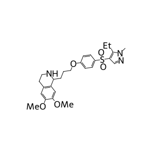 CCc1c(S(=O)(=O)c2ccc(OCCCC3NCCc4cc(OC)c(OC)cc43)cc2)cnn1C